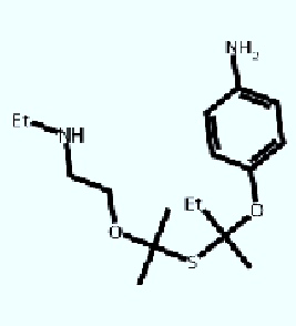 CCNCCOC(C)(C)SC(C)(CC)Oc1ccc(N)cc1